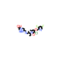 C=C/C(=C(C)\C=N/CC(=N)/C=C\NC(C)(C)CO)n1c(C)cc(OCc2ncc(F)cc2F)c(Cl)c1=O